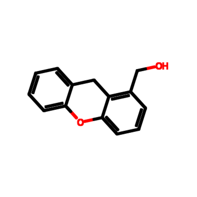 OCc1cccc2c1Cc1ccccc1O2